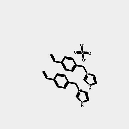 C=Cc1ccc(C[n+]2cc[nH]c2)cc1.C=Cc1ccc(C[n+]2cc[nH]c2)cc1.O=S(=O)([O-])[O-]